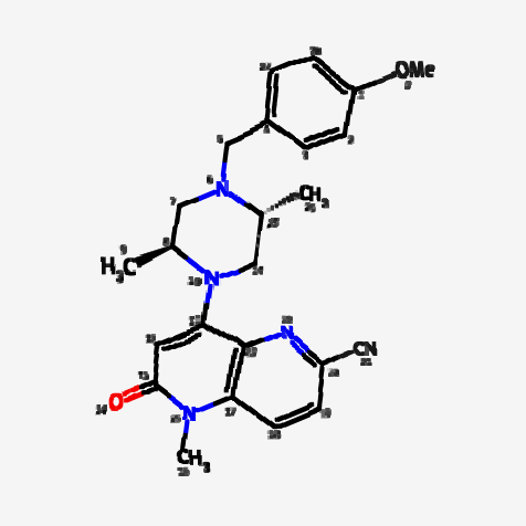 COc1ccc(CN2C[C@H](C)N(c3cc(=O)n(C)c4ccc(C#N)nc34)C[C@H]2C)cc1